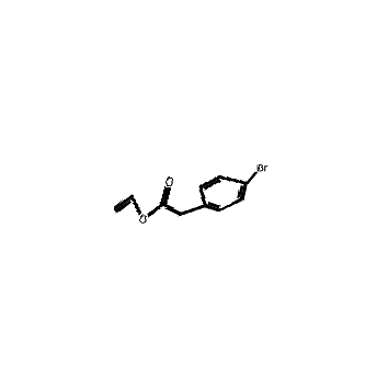 C=COC(=O)Cc1ccc(Br)cc1